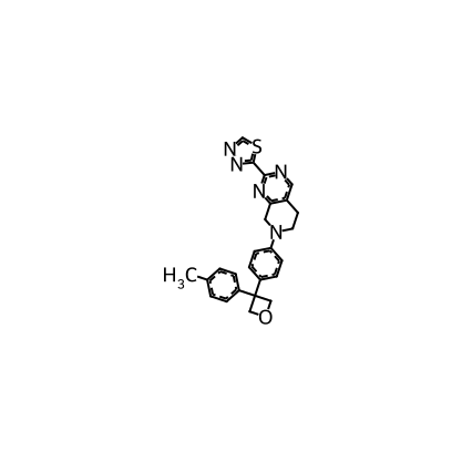 Cc1ccc(C2(c3ccc(N4CCc5cnc(-c6nncs6)nc5C4)cc3)COC2)cc1